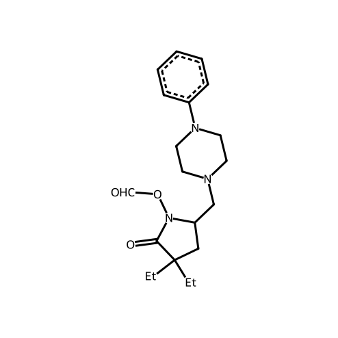 CCC1(CC)CC(CN2CCN(c3ccccc3)CC2)N(OC=O)C1=O